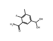 Cc1cc(B(O)O)cc(C(N)=O)c1F